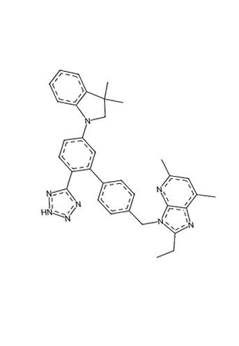 CCc1nc2c(C)cc(C)nc2n1Cc1ccc(-c2cc(N3CC(C)(C)c4ccccc43)ccc2-c2nn[nH]n2)cc1